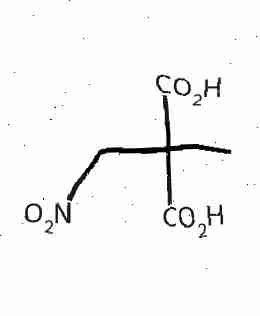 CC(C[N+](=O)[O-])(C(=O)O)C(=O)O